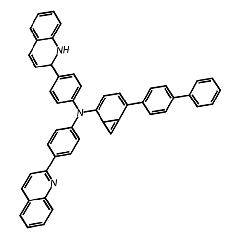 C1=CC(c2ccc(N(C3=CC=C(c4ccc(-c5ccccc5)cc4)C4=CC43)c3ccc(-c4ccc5ccccc5n4)cc3)cc2)Nc2ccccc21